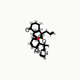 C=CCc1c(OC(C)(c2ncc[nH]2)c2c(Cl)cccc2Cl)ccc2c1CCCC2=O